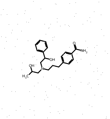 CC(O)CN(CCCc1ccc(C(N)=O)cc1)CC(O)c1ccccc1